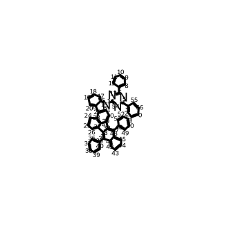 c1ccc(-c2nc(-c3ccccc3)nc(-n3c4ccccc4c4c5cccc6c5c(cc43)-c3c-6c(-c4ccccc4)c4ccccc4c3-c3ccccc3)n2)cc1